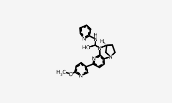 COc1ccc(-c2ccc3c(n2)N(C(O)Nc2ccccn2)[C@H]2CCN3C2)cn1